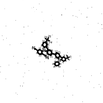 CC(C)(C)c1ccc2c(c1)c1ccc(-c3ccc4c(c3)c3cc(C(C)(C)C)ccc3n4-c3cc(C#N)ccc3C#N)cc1n2-c1ccccc1